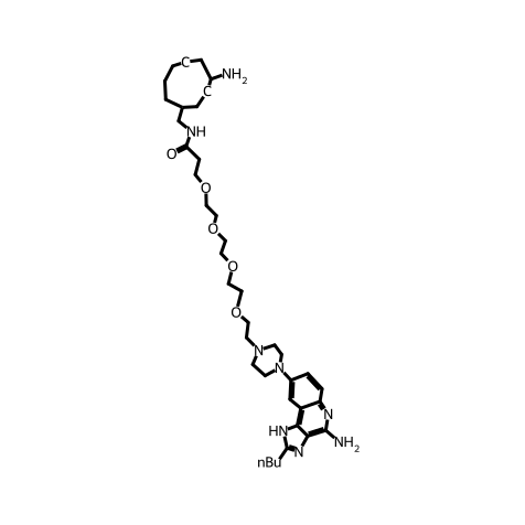 CCCCc1nc2c(N)nc3ccc(N4CCN(CCOCCOCCOCCOCCC(=O)NCC5CCCCCC(N)CC5)CC4)cc3c2[nH]1